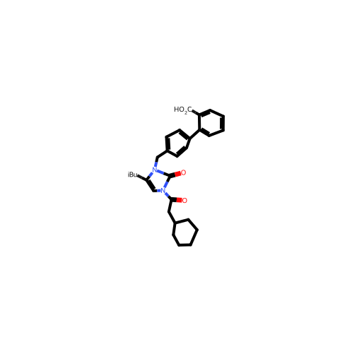 CCC(C)c1cn(C(=O)CC2CCCCC2)c(=O)n1Cc1ccc(-c2ccccc2C(=O)O)cc1